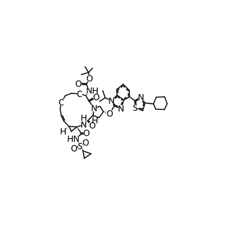 CC(C)n1c(O[C@@H]2C[C@H]3C(=O)N[C@]4(C(=O)NS(=O)(=O)C5CC5)C[C@H]4/C=C\CCCCC[C@H](NC(=O)OC(C)(C)C)C(=O)N3C2)nc2c(-c3nc(C4CCCCC4)cs3)cccc21